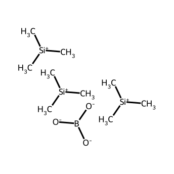 C[Si+](C)C.C[Si+](C)C.C[Si+](C)C.[O-]B([O-])[O-]